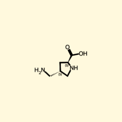 NC[C@H]1CN[C@H](C(=O)O)C1